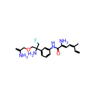 C=C/C(C)=C\C=C(/N)C(=O)Nc1cccc(C(N)(CF)COCC(=C)N)c1